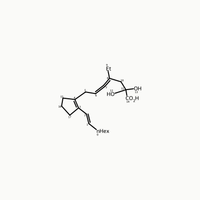 CCCCCC/C=C/C1=C(CC=C=C(CC)CC(O)(O)C(=O)O)CCC1